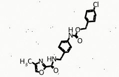 Cc1coc(C(=O)NCc2ccc(NC(=O)OCc3ccc(Cl)cc3)cc2)n1